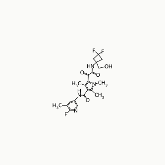 Cc1cc(NC(=O)c2c(C)c(C(=O)C(=O)NC3(CO)CC(F)(F)C3)n(C)c2C)cnc1F